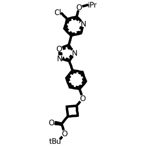 CC(C)Oc1ncc(-c2nc(-c3ccc(OC4CC(C(=O)OC(C)(C)C)C4)cc3)no2)cc1Cl